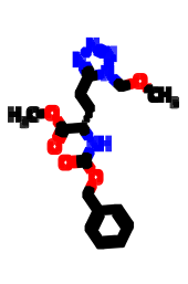 COCn1nnnc1CC[C@H](NC(=O)OCc1ccccc1)C(=O)OC